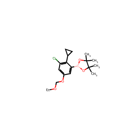 CCOCOc1cc(Cl)c(C2CC2)c(B2OC(C)(C)C(C)(C)O2)c1